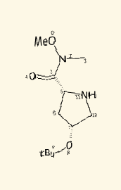 CON(C)C(=O)[C@H]1C[C@@H](OC(C)(C)C)CN1